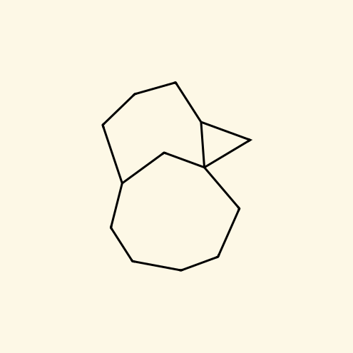 C1CCC2CCCC3CC3(CC1)C2